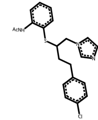 CC(=O)Nc1ccccc1SC(CCc1ccc(Cl)cc1)Cn1ccnc1